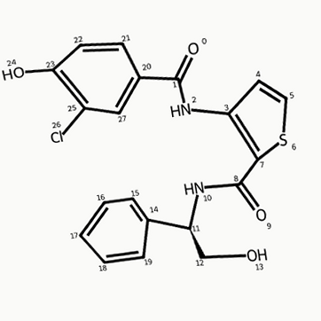 O=C(Nc1ccsc1C(=O)N[C@@H](CO)c1ccccc1)c1ccc(O)c(Cl)c1